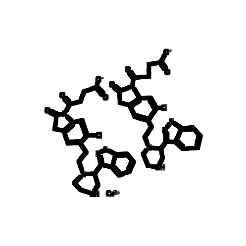 O=C([O-])CCC(=O)N1C(=O)Cc2cc(CCN3CCNCC3c3nsc4ccccc34)c(Cl)cc21.O=C([O-])CCC(=O)N1C(=O)Cc2cc(CCN3CCNCC3c3nsc4ccccc34)c(Cl)cc21.[Ca+2]